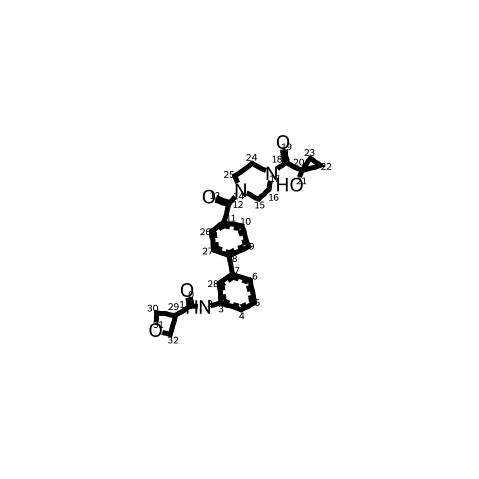 O=C(Nc1cccc(-c2ccc(C(=O)N3CCN(C(=O)C4(O)CC4)CC3)cc2)c1)C1COC1